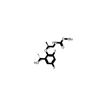 C[C@@H](CNC(=O)OC(C)(C)C)Oc1c(F)cc(F)cc1[C@@H](C)O